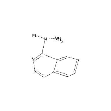 CCN(N)c1nncc2ccccc12